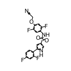 N#CCOc1cc(F)c(NS(=O)(=O)c2c[nH]c(-c3ccc(F)cc3F)c2)cc1F